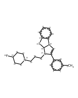 Cc1cccc(C2=CN3c4ccccc4SC3N2CCCN2CCC(F)CC2)c1